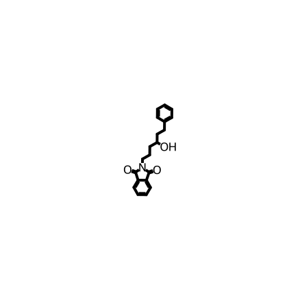 O=C1c2ccccc2C(=O)N1CCCC(O)CCc1ccccc1